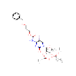 CC(=O)O[C@@H]1[C@H](OC(C)=O)[C@@H](C)O[C@H]1n1cc(I)c(NC(=O)OCCCOCc2ccccc2)nc1=O